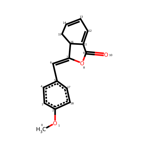 COc1ccc(C=C2OC(=O)C3=CC=CCC23)cc1